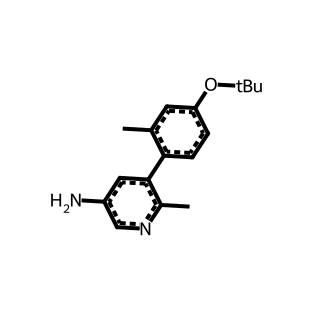 Cc1cc(OC(C)(C)C)ccc1-c1cc(N)cnc1C